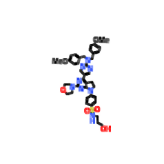 COc1ccc(CN(Cc2ccc(OC)cc2)c2ncc(-c3nc(N4CCOCC4)nc4c3CCN4c3ccc(S(=O)(=O)NCCCO)cc3)cn2)cc1